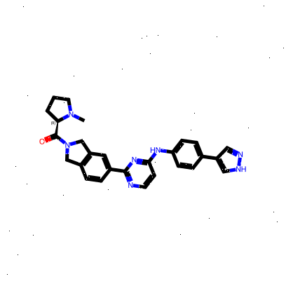 CN1CCC[C@@H]1C(=O)N1Cc2ccc(-c3nccc(Nc4ccc(-c5cn[nH]c5)cc4)n3)cc2C1